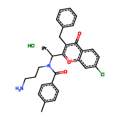 Cc1ccc(C(=O)N(CCCN)C(c2oc3cc(Cl)ccc3c(=O)c2Cc2ccccc2)C(C)C)cc1.Cl